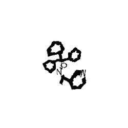 CC(=NOC(c1ccccc1)(c1ccccc1)c1ccccc1)c1cccnc1